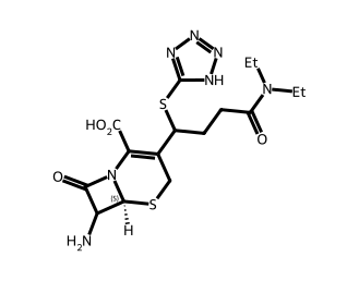 CCN(CC)C(=O)CCC(Sc1nnn[nH]1)C1=C(C(=O)O)N2C(=O)C(N)[C@@H]2SC1